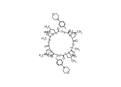 CC(C)CC1C(=O)O[C@H](C)C(=O)N(C)[C@@H](CC(C)C)C(=O)O[C@H](Cc2ccc(N3CCOCC3)cc2)C(=O)N(C)[C@@H](CC(C)C)C(=O)O[C@H](C)C(=O)N(C)[C@@H](CC(C)C)C(=O)O[C@H](Cc2ccc(N3CCOCC3)cc2)C(=O)N1C